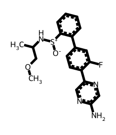 COCC(C)N[S+]([O-])c1ccccc1-c1ccc(-c2cnc(N)cn2)c(F)c1